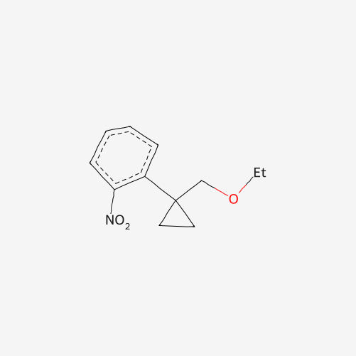 CCOCC1(c2ccccc2[N+](=O)[O-])CC1